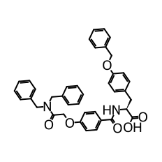 O=C(N[C@@H](Cc1ccc(OCc2ccccc2)cc1)C(=O)O)c1ccc(OCC(=O)N(Cc2ccccc2)Cc2ccccc2)cc1